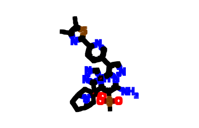 Cc1nc(-c2ccc(-c3cnn4c(N)c(S(C)(=O)=O)c(C5CC6CCC(C5)N6C(=O)c5nnc[nH]5)nc34)cn2)sc1C